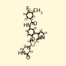 Cc1cc(C(=O)Nc2ccc(OCCN3CCNC(=O)C3)c(-c3ccnn3C)c2)ccc1F